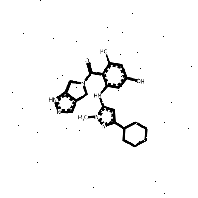 Cn1nc(C2CCCCC2)cc1Nc1cc(O)cc(O)c1C(=O)N1Cc2cn[nH]c2C1